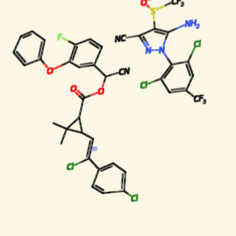 CC1(C)C(/C=C(\Cl)c2ccc(Cl)cc2)C1C(=O)OC(C#N)c1ccc(F)c(Oc2ccccc2)c1.N#Cc1nn(-c2c(Cl)cc(C(F)(F)F)cc2Cl)c(N)c1[S+]([O-])C(F)(F)F